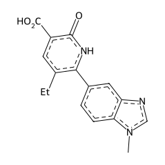 CCc1cc(C(=O)O)c(=O)[nH]c1-c1ccc2c(c1)ncn2C